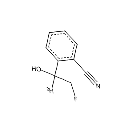 [2H]C(O)(CF)c1ccccc1C#N